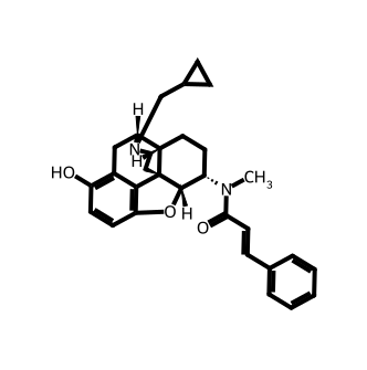 CN(C(=O)C=Cc1ccccc1)[C@H]1CC[C@H]2[C@H]3Cc4c(O)ccc5c4[C@@]2(CCN3CC2CC2)[C@H]1O5